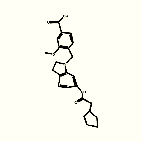 COc1cc(C(=O)O)ccc1CN1CCc2ccc(NC(=O)CC3CCCC3)cc21